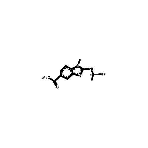 COC(=O)c1ccc2c(c1)nc(N[C@H](C)C(C)C)n2C